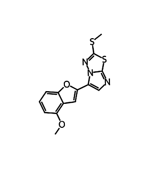 COc1cccc2oc(-c3cnc4sc(SC)nn34)cc12